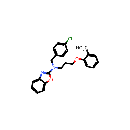 O=C(O)c1ccccc1OCCCN(Cc1ccc(Cl)cc1)c1nc2ccccc2o1